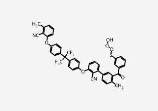 Cc1ccc(-c2cccc(Oc3ccc(C(c4ccc(Oc5cccc(C)c5C#N)cc4)(C(F)(F)F)C(F)(F)F)cc3)c2C#N)cc1C(=O)c1cccc(SOOO)c1